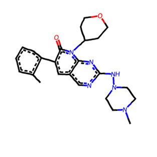 Cc1ccccc1-c1cc2cnc(NN3CCN(C)CC3)nc2n(C2CCOCC2)c1=O